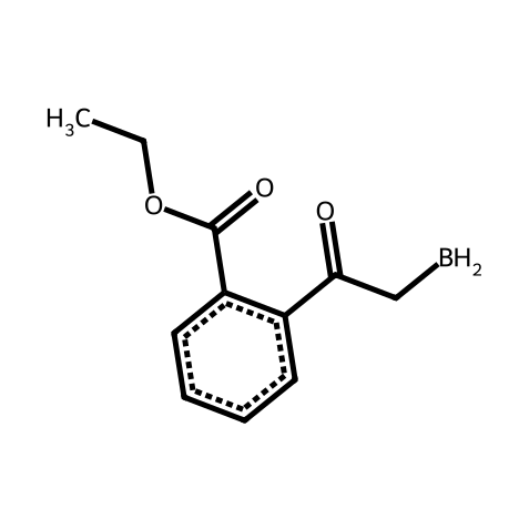 BCC(=O)c1ccccc1C(=O)OCC